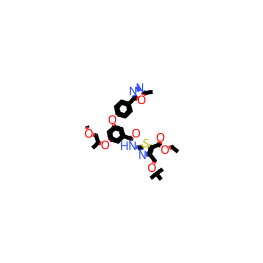 CCOC(=O)c1sc(NC(=O)c2cc(Oc3ccc(-c4nnc(C)o4)cc3)cc(OC(C)COC)c2)nc1COC(C)(C)C